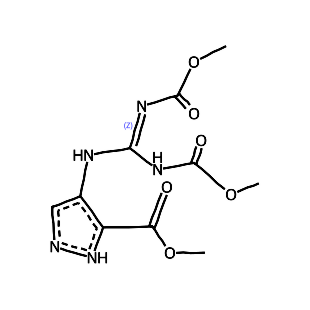 COC(=O)/N=C(\NC(=O)OC)Nc1cn[nH]c1C(=O)OC